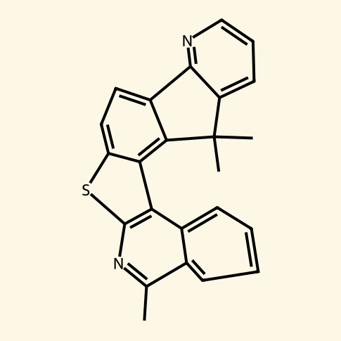 Cc1nc2sc3ccc4c(c3c2c2ccccc12)C(C)(C)c1cccnc1-4